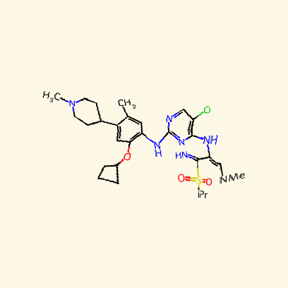 CN/C=C(/Nc1nc(Nc2cc(C)c(C3CCN(C)CC3)cc2OC2CCC2)ncc1Cl)C(=N)S(=O)(=O)C(C)C